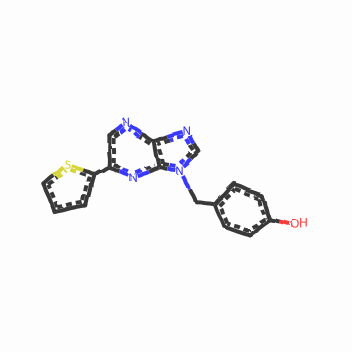 Oc1ccc(Cn2cnc3ncc(-c4cccs4)nc32)cc1